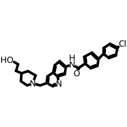 O=C(Nc1ccc2cc(CN3CCC(CCO)CC3)cnc2c1)c1ccc(-c2ccc(Cl)cc2)cc1